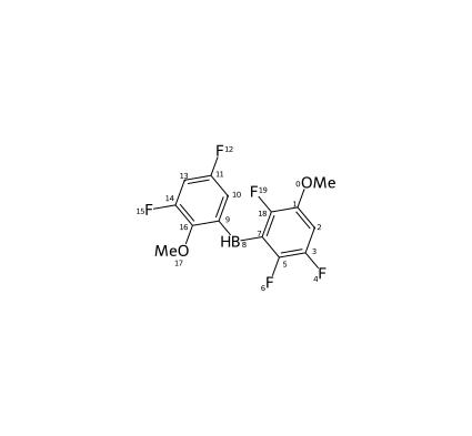 COc1cc(F)c(F)c(Bc2cc(F)cc(F)c2OC)c1F